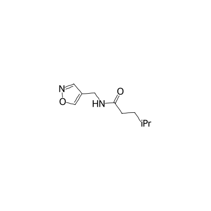 CC(C)CCC(=O)NCc1cnoc1